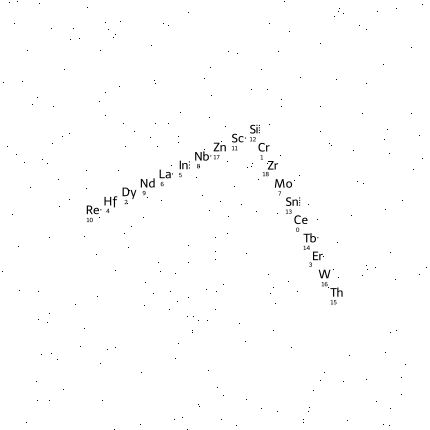 [Ce].[Cr].[Dy].[Er].[Hf].[In].[La].[Mo].[Nb].[Nd].[Re].[Sc].[Si].[Sn].[Tb].[Th].[W].[Zn].[Zr]